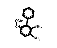 COC.Nc1cccc(-c2ccccc2)c1N